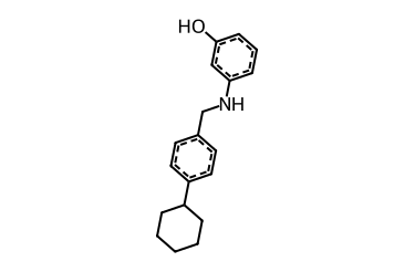 Oc1cccc(NCc2ccc(C3CCCCC3)cc2)c1